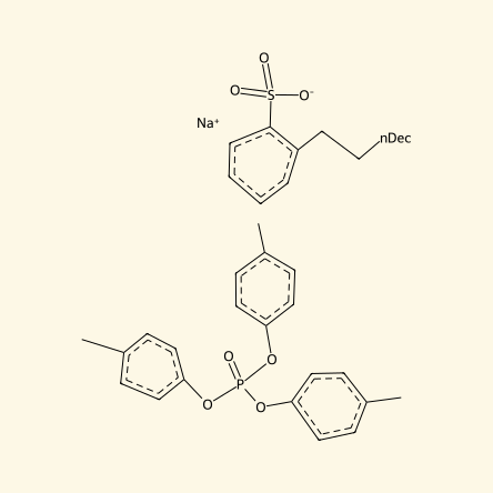 CCCCCCCCCCCCc1ccccc1S(=O)(=O)[O-].Cc1ccc(OP(=O)(Oc2ccc(C)cc2)Oc2ccc(C)cc2)cc1.[Na+]